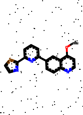 CCCCOc1ccnc2ccc(-c3cccc(-c4nccs4)n3)cc12